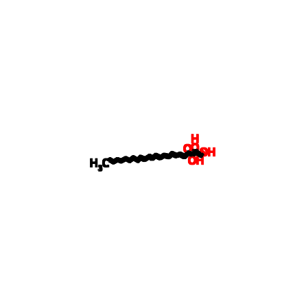 CCCCCCCCCC=CC=CC=CC=CC=CC=CC(=O)C(O)[C@@H](O)CO